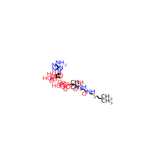 C=C(C)CCSCCNC(=O)CCNC(=O)C(O)C(C)(C)COP(=O)(O)OP(=O)(O)OC[C@H]1O[C@@H](n2cnc3c(N)ncnc32)[C@H](O)[C@@H]1OP(=O)(O)O